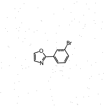 Brc1cccc(-c2ncco2)c1